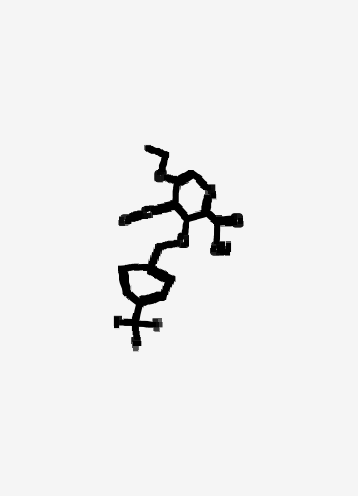 CCOC1=CN=C(C(=O)O)C(OCc2ccc(C(F)(F)F)cc2)C1=C=O